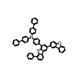 c1ccc(-c2ccc(N(c3ccc(-c4ccccc4)cc3)c3ccc(-c4cc(-c5ccc6oc7ccccc7c6c5)cc5c4sc4c(-c6ccccc6)cccc45)cc3)cc2)cc1